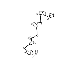 CCOC(=O)COCCOCC(=O)O